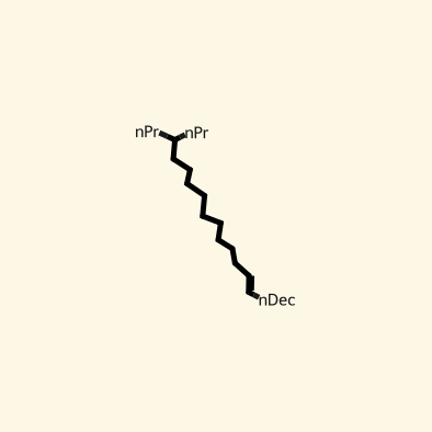 [CH2]CCCCCCCCCC=CCCCCCCCCCC(CC[CH2])CCC